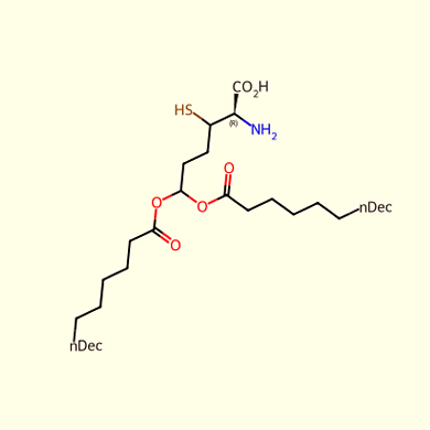 CCCCCCCCCCCCCCCC(=O)OC(CCC(S)[C@H](N)C(=O)O)OC(=O)CCCCCCCCCCCCCCC